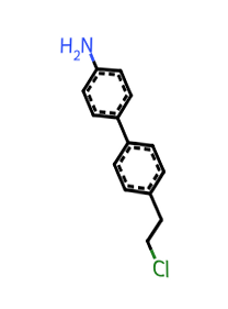 Nc1ccc(-c2ccc(CCCl)cc2)cc1